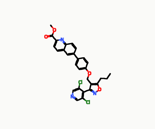 CCCc1onc(-c2c(Cl)cncc2Cl)c1COc1ccc(-c2ccc3nc(C(=O)OC)ccc3c2)cc1